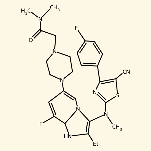 CCC1=C(N(C)c2nc(-c3ccc(F)cc3)c(C#N)s2)N2C=C(N3CCN(CC(=O)N(C)C)CC3)C=C(F)C2N1